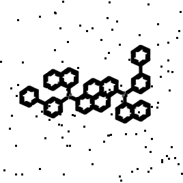 c1ccc(-c2cccc(N(c3cccc4ccccc34)c3ccc4ccc5c(N(c6cccc(-c7ccccc7)c6)c6cccc7ccccc67)ccc6ccc3c4c65)c2)cc1